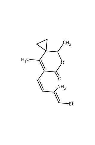 CC/C=C(N)/C=C\C1=C(C)C2(CC2)C(C)OC1=O